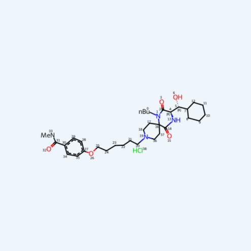 CCCCN1C(=O)[C@@H]([C@H](O)C2CCCCC2)NC(=O)C12CCN(CCCCCCOc1ccc(C(=O)NC)cc1)CC2.Cl